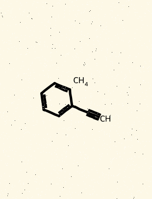 C.C#Cc1ccccc1